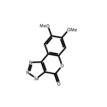 COc1cc2oc(=O)c3[se]nnc3c2cc1OC